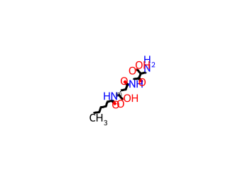 CCCCCCC(=O)N[C@H](CCC(=O)NCC(=O)C(CN)C(=O)O)C(=O)O